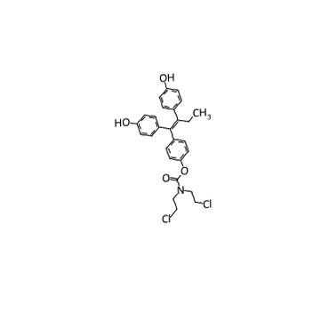 CCC(=C(c1ccc(O)cc1)c1ccc(OC(=O)N(CCCl)CCCl)cc1)c1ccc(O)cc1